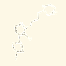 O=c1c(-c2ccc(F)cc2)ccnn1CCCCC1CNCCO1